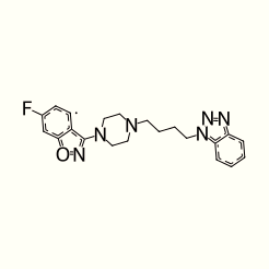 Fc1c[c]c2c(N3CCN(CCCCn4nnc5ccccc54)CC3)noc2c1